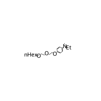 CCCCCCOCCOCCOc1ccc(N(C)CC)cc1